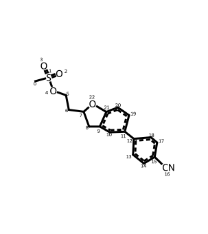 CS(=O)(=O)OCCC1Cc2cc(-c3ccc(C#N)cc3)ccc2O1